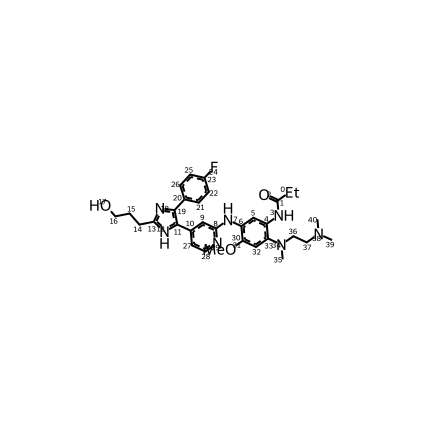 CCC(=O)Nc1cc(Nc2cc(-c3[nH]c(CCCO)nc3-c3ccc(F)cc3)ccn2)c(OC)cc1N(C)CCN(C)C